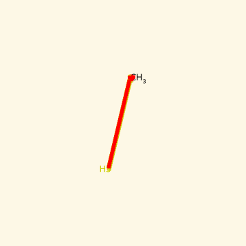 CCOS(=S)(=S)SSSSSSSSSSSSSSSSSSSSSSSSSSSSSSSSSSSSSSSSSSSSSSSSSSSSSSSSSSSSSSSSSSSSSSSSSSSSSSSSSSSSS